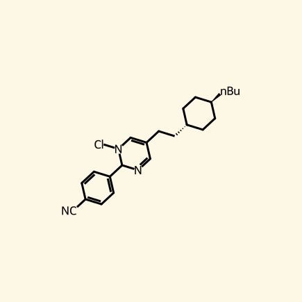 CCCC[C@H]1CC[C@H](CCC2=CN(Cl)C(c3ccc(C#N)cc3)N=C2)CC1